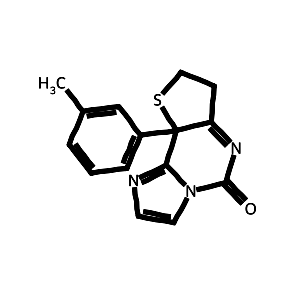 Cc1cccc(C23SCCC2=NC(=O)n2ccnc23)c1